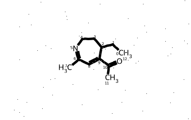 CCC1CCN=C(C)C=C1C(C)=O